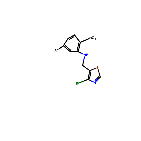 CC(=O)c1ccc([N+](=O)[O-])c(NCc2scnc2Br)c1